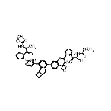 COC(=O)N[C@@H](C)C(=O)N1CCCC1C1=Nc2cc(-c3ccc(-c4cnc([C@@H]5CCCN5C(=O)[C@H](C)NC(=O)OC)[nH]4)c4c3CC3CCC43)ccc2C2(COC2)N1